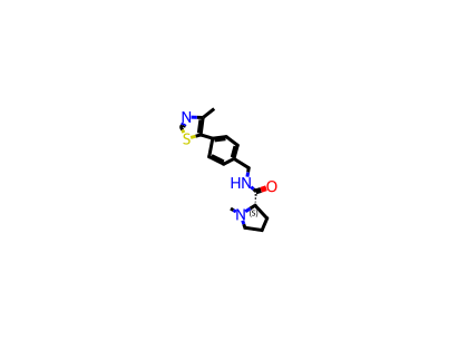 Cc1ncsc1-c1ccc(CNC(=O)[C@@H]2CCCN2C)cc1